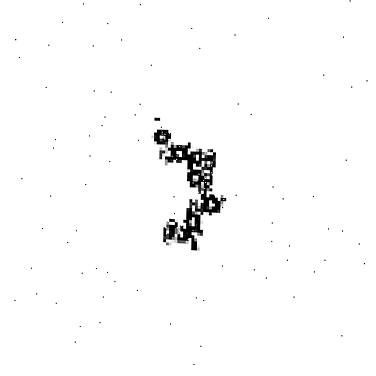 C#CCC1(c2cc3cnn(-c4ccc(F)cc4Cn4nnc5cc(CC6(c7cc8cnn(-c9ccc(F)cc9)c8cc7C)CCN(S(C)(=O)=O)C6)ccc54)c3cc2C)CCN(S(C)(=O)=O)C1